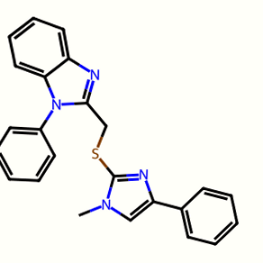 Cn1cc(-c2ccccc2)nc1SCc1nc2ccccc2n1-c1ccccc1